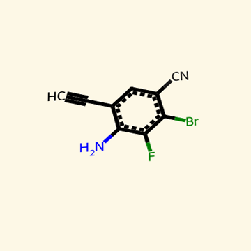 C#Cc1cc(C#N)c(Br)c(F)c1N